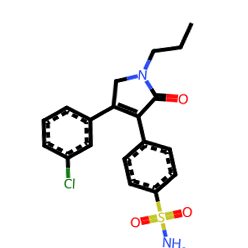 CCCN1CC(c2cccc(Cl)c2)=C(c2ccc(S(N)(=O)=O)cc2)C1=O